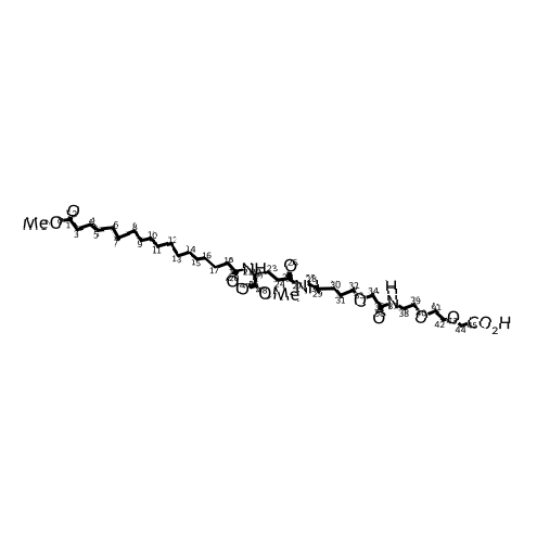 COC(=O)CCCCCCCCCCCCCCCCC(=O)N[C@@H](CCC(=O)NCCCCCOCC(=O)NCCOCCOCC(=O)O)C(=O)OC